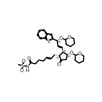 CS(=O)(=O)NC(=O)CCCC=CC[C@H]1C(=O)C[C@@H](OC2CCCCO2)[C@@H]1C=C[C@@H](OC1CCCCO1)c1cc2ccccc2s1